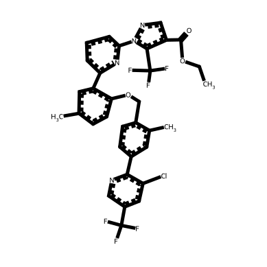 CCOC(=O)c1cnn(-c2cccc(-c3cc(C)ccc3OCc3ccc(-c4ncc(C(F)(F)F)cc4Cl)cc3C)n2)c1C(F)(F)F